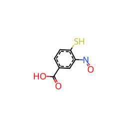 O=Nc1cc(C(=O)O)ccc1S